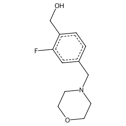 OCc1ccc(CN2CCOCC2)cc1F